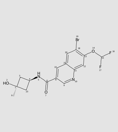 C[C@]1(O)C[C@@H](NC(=O)c2cnc3cc(OC(F)F)c(Br)cc3c2)C1